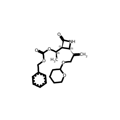 C=C(COC1CCCCO1)[C@H]1NC(=O)[C@@H]1[C@@H](C)OC(=O)OCc1ccccc1